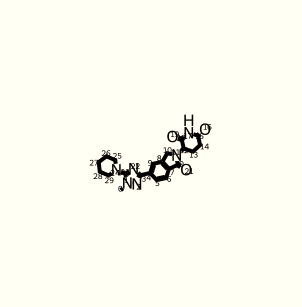 Cn1nc(-c2ccc3c(c2)CN(C2CCC(=O)NC2=O)C3=O)nc1N1CCCCC1